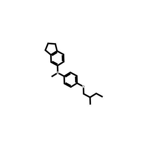 CCC(C)COc1ccc(N(C)c2ccc3c(c2)CCC3)cc1